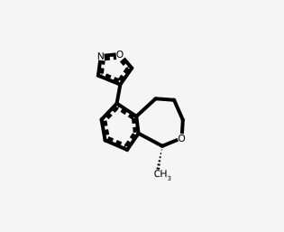 C[C@H]1OCCCc2c(-c3cnoc3)cccc21